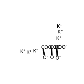 O=C([O-])[O-].O=C([O-])[O-].O=C([O-])[O-].[K+].[K+].[K+].[K+].[K+].[K+]